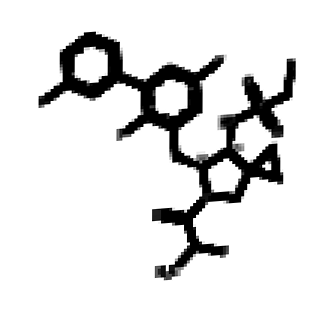 CC(F)C(=O)N1CC2(CC2)[C@H](NS(=O)(=O)CF)[C@@H]1Cc1cc(F)cc(-c2cccc(F)c2)c1F